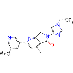 COc1cncc(-c2cc(C)c3c(n2)CN(c2cn(CC(F)(F)F)cn2)C3=O)c1